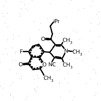 CC1=C(C#N)C(c2ccc(F)c3c(=O)cc(C)oc23)C(C(=O)CCC(C)C)=C(C)N1C